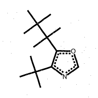 CC(C)(C)c1ncoc1C(C)(C)C(C)(C)C